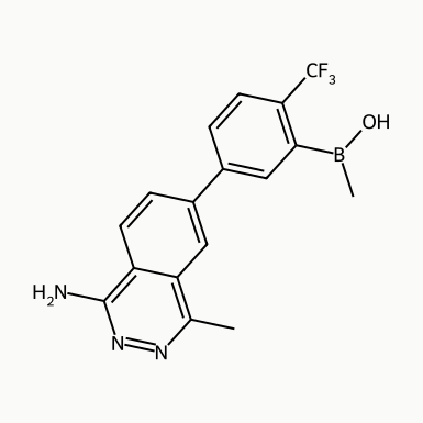 CB(O)c1cc(-c2ccc3c(N)nnc(C)c3c2)ccc1C(F)(F)F